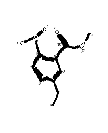 CCc1ccc([N+](=O)[O-])c(C(=O)OC)c1